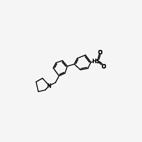 O=[SH](=O)c1ccc(-c2cccc(CN3CCCC3)c2)cc1